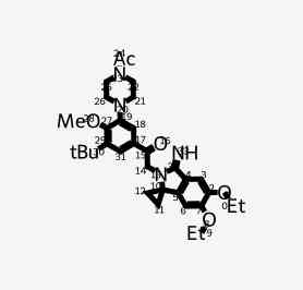 CCOc1cc2c(cc1OCC)C1(CC1)N(CC(=O)c1cc(N3CCN(C(C)=O)CC3)c(OC)c(C(C)(C)C)c1)C2=N